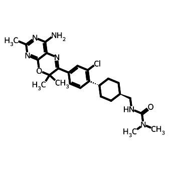 Cc1nc(N)c2c(n1)OC(C)(C)C(c1ccc([C@H]3CC[C@H](CNC(=O)N(C)C)CC3)c(Cl)c1)=N2